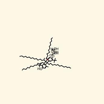 CCCCCCCCCCCCCC(C)C(CCCCCCCCCCCCC)(CCCCCCCCCCCCC)C(CCCCCCCCCCCCC)(c1cc(C(C)(C)C)c(O)cc1C)c1cc(C(C)(C)C)c(OP(=O)(O)OP(=O)(O)O)cc1C